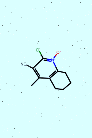 Cc1c(C#N)c(Cl)[n+]([O-])c2c1CCCC2